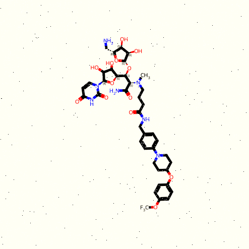 CN(CCCC(=O)NCc1ccc(N2CCC(Oc3ccc(OC(F)(F)F)cc3)CC2)cc1)[C@H](C(N)=O)[C@H](O[C@@H]1O[C@H](CN)[C@@H](O)[C@H]1O)[C@H]1O[C@@H](n2ccc(=O)[nH]c2=O)C(O)C1O